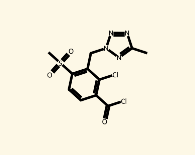 Cc1nnn(Cc2c(S(C)(=O)=O)ccc(C(=O)Cl)c2Cl)n1